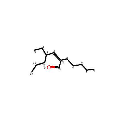 CCCCCC(C=O)=CC(CC)CCC